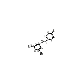 Brc1ccc(COc2cc(Br)cc(Br)c2)cc1